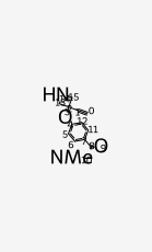 C#CC1(Oc2ccc(C(=O)NC)cc2)CNC1